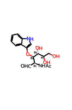 CC(=O)N[C@@H](C=O)[C@@H](Oc1c[nH]c2ccccc12)[C@H](O)[C@H](O)CO